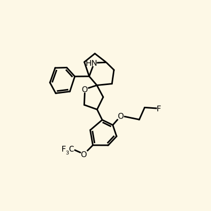 FCCOc1ccc(OC(F)(F)F)cc1C1COC2(CCC3CCC2(c2ccccc2)N3)C1